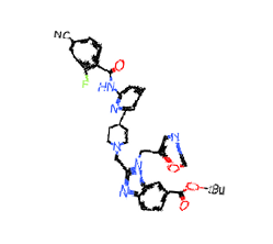 CC(C)(C)OC(=O)c1ccc2nc(CN3CCC(c4cccc(NC(=O)c5ccc(C#N)cc5F)n4)CC3)n(Cc3cnco3)c2c1